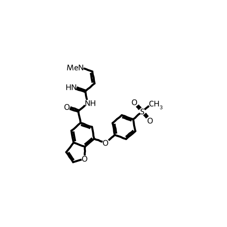 CN/C=C\C(=N)NC(=O)c1cc(Oc2ccc(S(C)(=O)=O)cc2)c2occc2c1